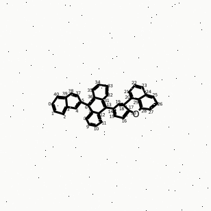 c1ccc2cc(-c3c4ccccc4c(-c4ccc5c(c4)-c4cccc6cccc(c46)O5)c4ccccc34)ccc2c1